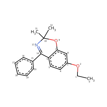 CCOc1ccc2c(c1)OC(C)(C)N=C2c1ccccc1